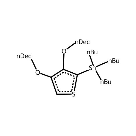 CCCCCCCCCCOc1cs[c]([Sn]([CH2]CCC)([CH2]CCC)[CH2]CCC)c1OCCCCCCCCCC